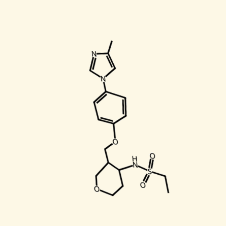 CCS(=O)(=O)NC1CCOCC1COc1ccc(-n2cnc(C)c2)cc1